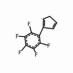 Fc1c(F)c(F)c(C2=[C]CC=C2)c(F)c1F